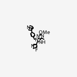 COc1nc(C)c2c(n1)N(CC1=CCC(C3CN4CCC3CC4)C=C1)C(c1cncc(F)c1)N2